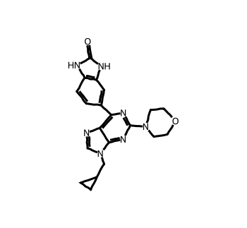 O=c1[nH]c2ccc(-c3nc(N4CCOCC4)nc4c3ncn4CC3CC3)cc2[nH]1